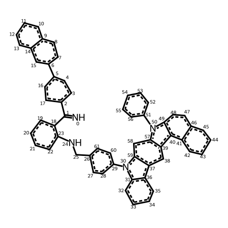 N=C(c1ccc(-c2ccc3ccccc3c2)cc1)c1ccccc1NCc1ccc(-n2c3ccccc3c3cc4c5c6ccccc6ccc5n(-c5ccccc5)c4cc32)cc1